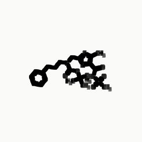 Cc1sc(CN(CCCc2ccccc2)C(=O)OC(C)(C)C)nc1C(=O)NS(C)(=O)=O